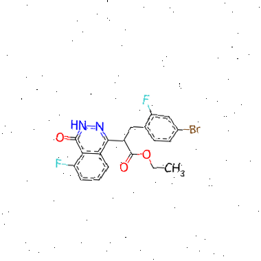 CCOC(=O)C(Cc1ccc(Br)cc1F)c1n[nH]c(=O)c2c(F)cccc12